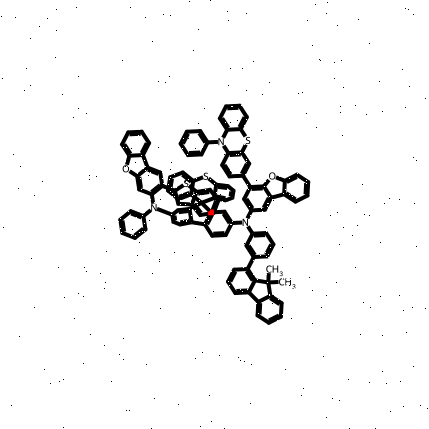 CC1(C)c2ccccc2-c2cccc(-c3cccc(N(c4ccc5c(c4)C4(c6ccccc6Sc6ccccc64)c4cc(N(c6ccccc6)c6cc7oc8ccccc8c7cc6C6Cc7ccccc7S6)ccc4-5)c4cc(-c5ccc6c(c5)Sc5ccccc5N6c5ccccc5)c5oc6ccccc6c5c4)c3)c21